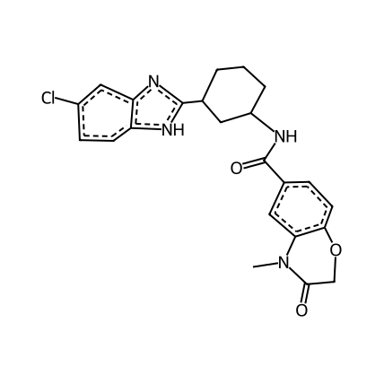 CN1C(=O)COc2ccc(C(=O)NC3CCCC(c4nc5cc(Cl)ccc5[nH]4)C3)cc21